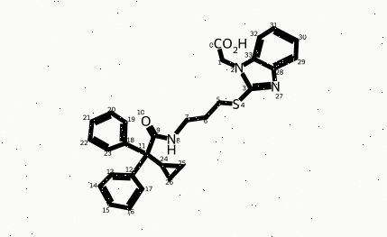 O=C(O)Cn1c(SCCCNC(=O)C(c2ccccc2)(c2ccccc2)C2CC2)nc2ccccc21